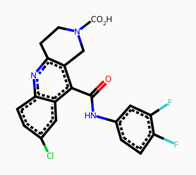 O=C(Nc1ccc(F)c(F)c1)c1c2c(nc3ccc(Cl)cc13)CCN(C(=O)O)C2